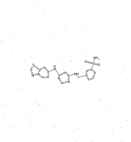 NS(=O)(=O)c1cccc(CNc2cc(Nc3ccc4ncsc4c3)ncn2)c1